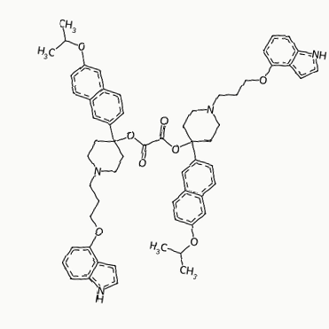 CC(C)Oc1ccc2cc(C3(OC(=O)C(=O)OC4(c5ccc6cc(OC(C)C)ccc6c5)CCN(CCCOc5cccc6[nH]ccc56)CC4)CCN(CCCOc4cccc5[nH]ccc45)CC3)ccc2c1